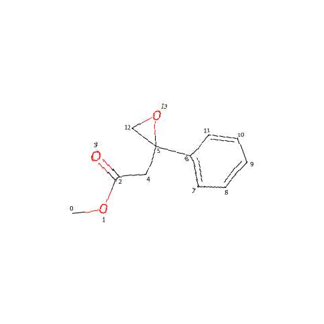 COC(=O)CC1(c2ccccc2)CO1